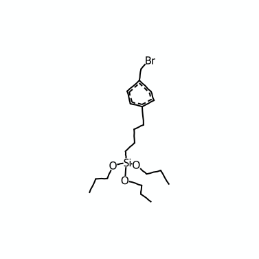 CCCO[Si](CCCCc1ccc(CBr)cc1)(OCCC)OCCC